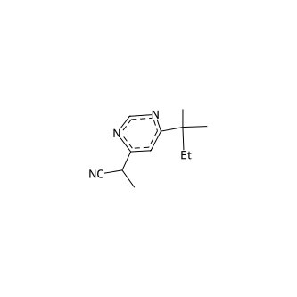 CCC(C)(C)c1cc(C(C)C#N)ncn1